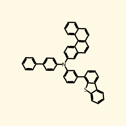 c1ccc(-c2ccc(N(c3cccc(-c4cccc5c4sc4ccccc45)c3)c3ccc4c(ccc5ccc6ccccc6c54)c3)cc2)cc1